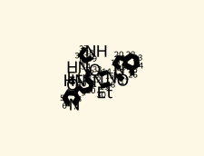 CCOC1(c2cccnc2)C=CC(N2CCN(C(=O)N3CCc4cccc(C)c43)C[C@H]2CC)=C(C(=O)N[C@@H]2CCNC2)N1